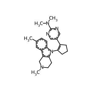 Cc1ccc2c(c1)c1c(n2C2=C(c3cnc(N(C)C)nc3)CCC2)CCN(C)C1